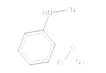 CC[O-].N#CNc1ccccc1.[Na+]